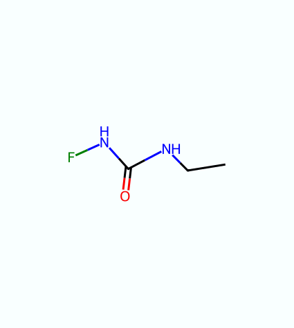 CCNC(=O)NF